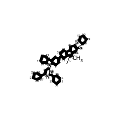 CC1(C)c2cc(-c3ccc4c(c3)c3ccccc3n4-c3cc(-c4ccccc4)nc(-c4ccccc4)n3)ccc2-c2cc3c(cc21)Sc1ccccc1S3